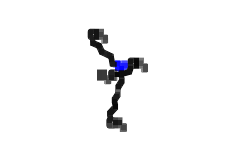 CCCCCCCC(C)(CC)NCCCCCC